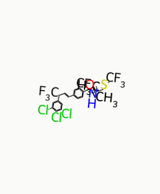 CC(C)(CSCC(F)(F)F)NC(=O)c1ccc(C=CC(c2cc(Cl)c(Cl)c(Cl)c2)C(F)(F)F)cc1C(F)(F)F